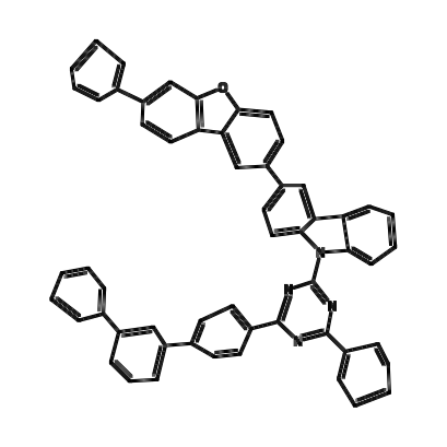 c1ccc(-c2cccc(-c3ccc(-c4nc(-c5ccccc5)nc(-n5c6ccccc6c6cc(-c7ccc8oc9cc(-c%10ccccc%10)ccc9c8c7)ccc65)n4)cc3)c2)cc1